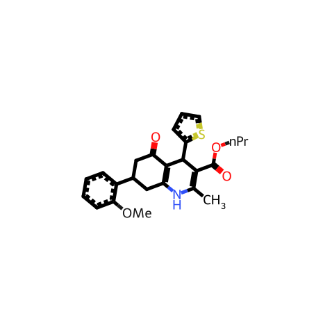 CCCOC(=O)C1=C(C)NC2=C(C(=O)CC(c3ccccc3OC)C2)C1c1cccs1